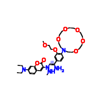 CCN(CC)c1ccc2cc(N(/C=C(\N)c3ccc(N4CCOCCOCCOCCOCCOCC4)c(OCCOC)c3)NC)c(=O)oc2c1